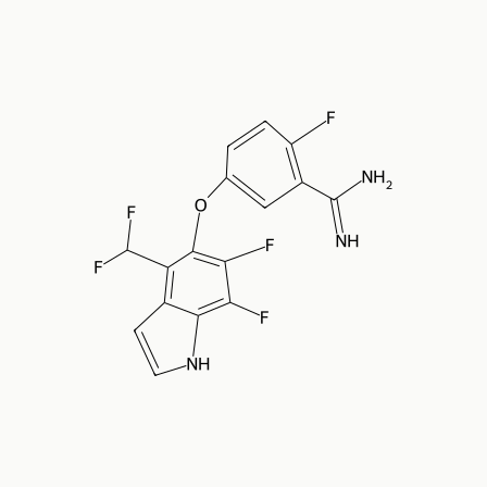 N=C(N)c1cc(Oc2c(F)c(F)c3[nH]ccc3c2C(F)F)ccc1F